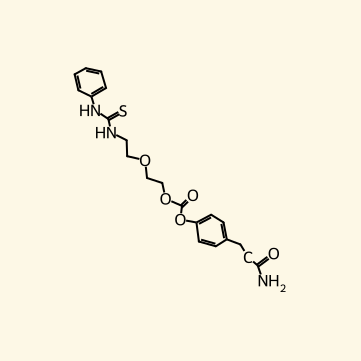 NC(=O)CCc1ccc(OC(=O)OCCOCCNC(=S)Nc2ccccc2)cc1